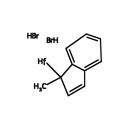 Br.Br.C[C]1([Hf])C=Cc2ccccc21